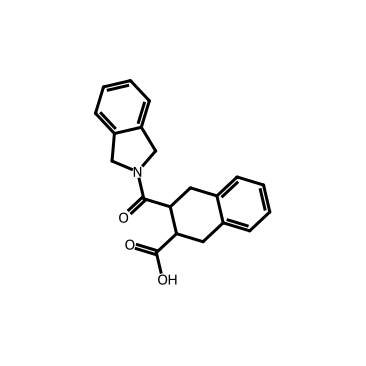 O=C(O)C1Cc2ccccc2CC1C(=O)N1Cc2ccccc2C1